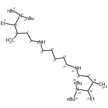 CCCCN(CCCC)C(CC)C(C)CCNCCCCCNCCC(C)C(CC)N(CCCC)CCCC